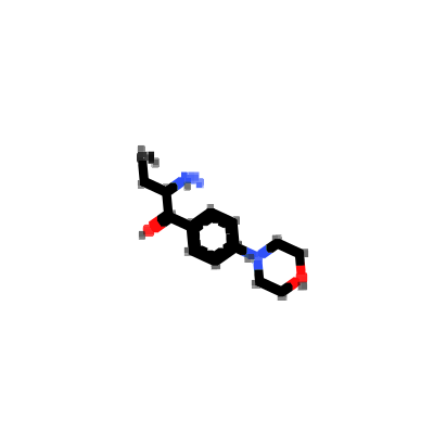 CCC(N)C(=O)c1ccc(N2CCOCC2)cc1